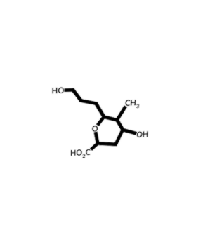 CC1C(O)CC(C(=O)O)OC1CCCO